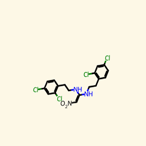 O=[N+]([O-])C=C(NCCc1ccc(Cl)cc1Cl)NCCc1ccc(Cl)cc1Cl